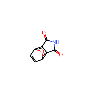 O=C1NC(=O)c2c1c1ccc2o1